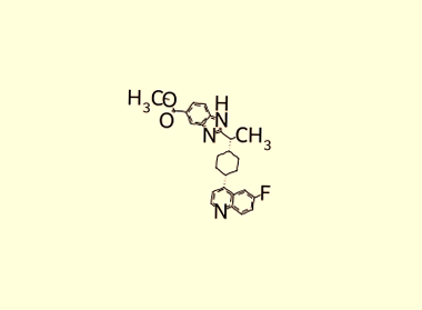 COC(=O)c1ccc2[nH]c(C(C)[C@H]3CC[C@@H](c4ccnc5ccc(F)cc54)CC3)nc2c1